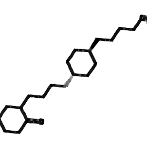 CCCCC[C@H]1CC[C@H](CCCCC2CCCCC2=O)CC1